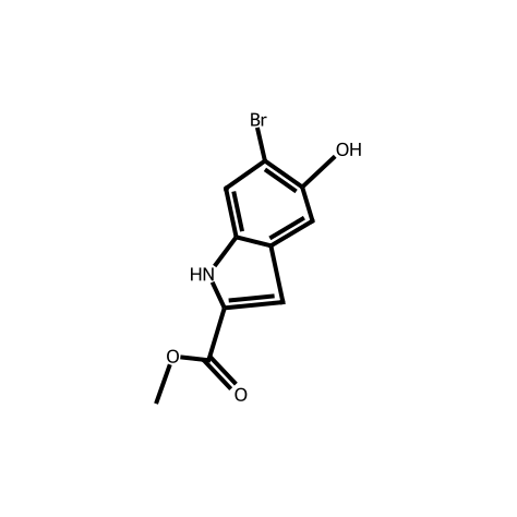 COC(=O)c1cc2cc(O)c(Br)cc2[nH]1